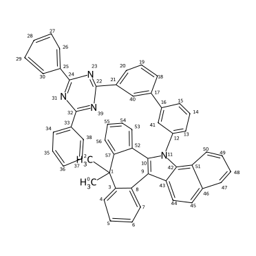 CC1(C)c2ccccc2-c2c(n(-c3cccc(-c4cccc(-c5nc(-c6ccccc6)nc(-c6ccccc6)n5)c4)c3)c3c2ccc2ccccc23)-c2ccccc21